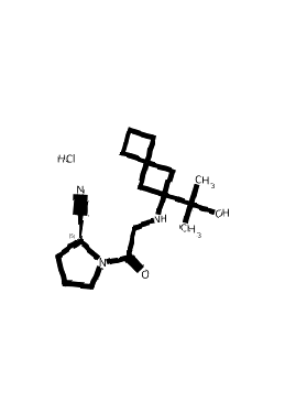 CC(C)(O)C1(NCC(=O)N2CCC[C@H]2C#N)CC2(CCC2)C1.Cl